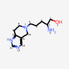 NC(CO)CCCN1CCc2ncncc2C1